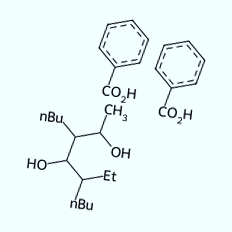 CCCCC(CC)C(O)C(CCCC)C(C)O.O=C(O)c1ccccc1.O=C(O)c1ccccc1